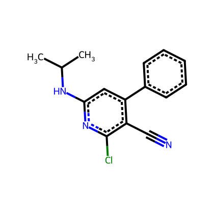 CC(C)Nc1cc(-c2ccccc2)c(C#N)c(Cl)n1